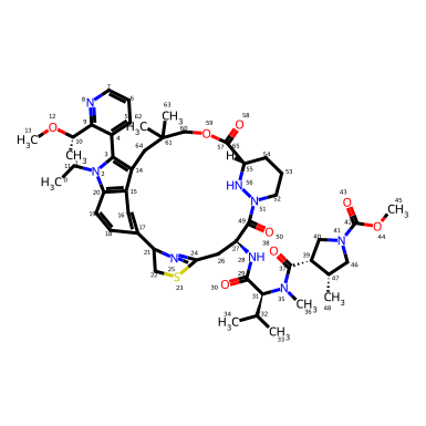 CCn1c(-c2cccnc2[C@H](C)OC)c2c3cc(ccc31)C1CSC(=N1)C[C@H](NC(=O)[C@H](C(C)C)N(C)C(=O)[C@@H]1CN(C(=O)OC)C[C@@H]1C)C(=O)N1CCC[C@H](N1)C(=O)OCC(C)(C)C2